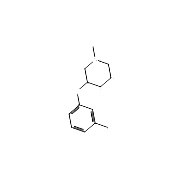 Cc1cccc(OC2CCCN(C)C2)c1